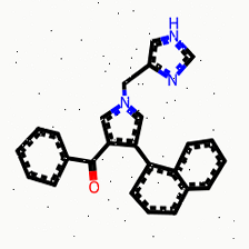 O=C(c1ccccc1)c1cn(Cc2c[nH]cn2)cc1-c1cccc2ccccc12